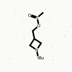 CS(=O)OCC1CN(C(C)(C)C)C1